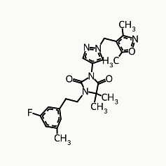 Cc1cc(F)cc(CCN2C(=O)N(c3cnn(Cc4c(C)noc4C)c3)C(=O)C2(C)C)c1